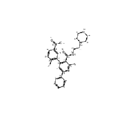 Cc1nc(-c2ccccc2)cc(-c2cc([N+](=O)[O-])ccc2F)c1C(=O)NCCN1CCOCC1